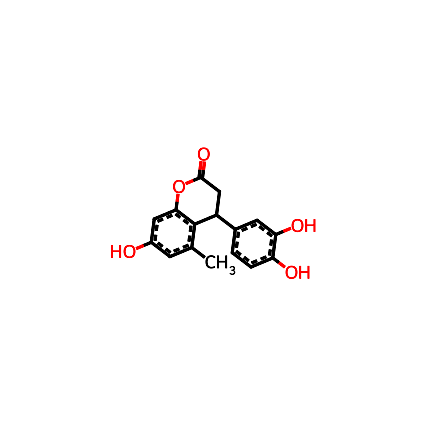 Cc1cc(O)cc2c1C(c1ccc(O)c(O)c1)CC(=O)O2